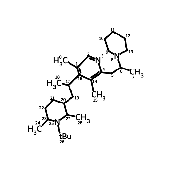 Cc1cnc(CC(C)N2CCCCC2)c(C)c1C(C)CC1CCC(C)N(C(C)(C)C)C1C